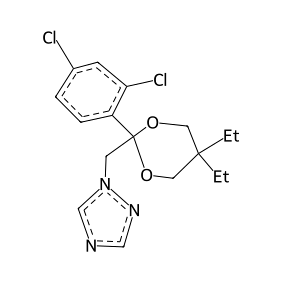 CCC1(CC)COC(Cn2cncn2)(c2ccc(Cl)cc2Cl)OC1